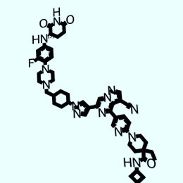 CCC1(C(=O)NC2CCC2)CCN(c2ccc(-c3nc(-c4cnn(C5CCC(CN6CCN(c7ccc(N[C@H]8CCC(=O)NC8=O)cc7F)CC6)CC5)c4)cn4ncc(C#N)c34)cn2)CC1